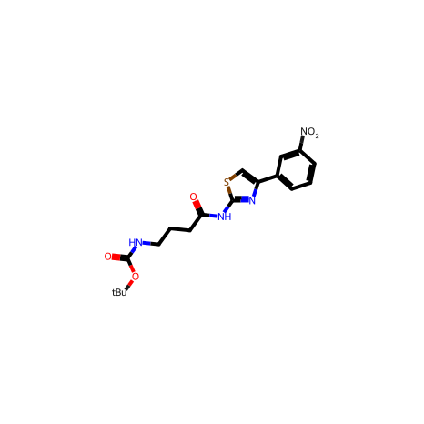 CC(C)(C)OC(=O)NCCCC(=O)Nc1nc(-c2cccc([N+](=O)[O-])c2)cs1